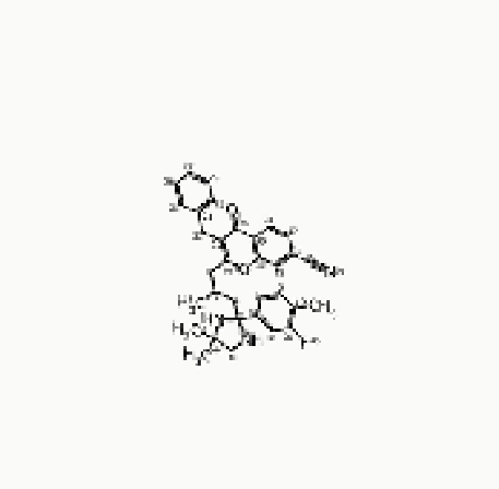 Cc1ccc(C2(CC(C)Cc3oc4cc(C#N)ccc4c(=O)c3Cc3ccccc3)NCC(C)(C)N2)cc1F